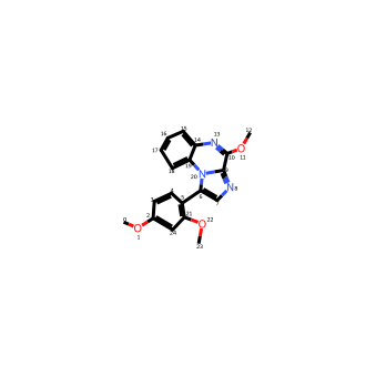 COc1ccc(-c2cnc3c(OC)nc4ccccc4n23)c(OC)c1